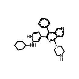 C1=CC(c2nc(N3CCNCC3)c3ccncc3c2-c2ccccc2)=CC(NC2CCCCC2)N1